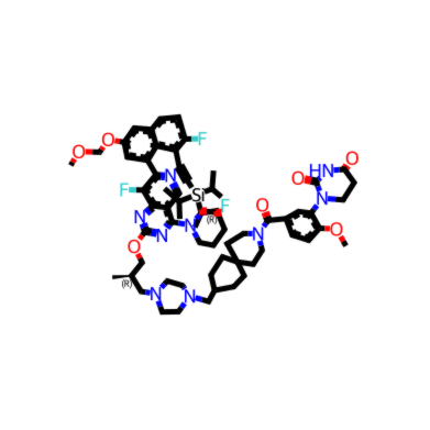 COCOc1cc(-c2ncc3c(N4CCC[C@@H](F)C4)nc(OC[C@H](C)CN4CCN(CC5CCC6(CC5)CCN(C(=O)c5ccc(OC)c(N7CCC(=O)NC7=O)c5)CC6)CC4)nc3c2F)c2c(C#C[Si](C(C)C)(C(C)C)C(C)C)c(F)ccc2c1